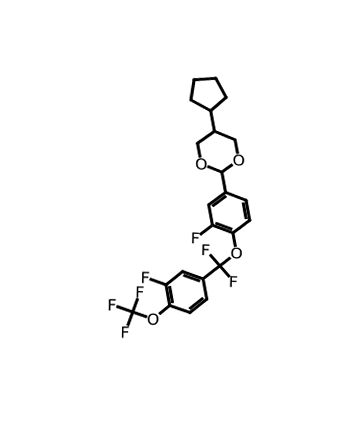 Fc1cc(C(F)(F)Oc2ccc(C3OCC(C4CCCC4)CO3)cc2F)ccc1OC(F)(F)F